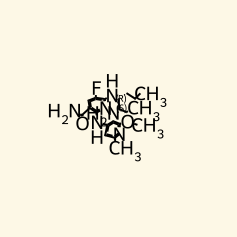 CCC[C@@H](Nc1nc(Nc2cc(C)nc(OC)c2)c(C(N)=O)cc1F)[C@@H](N)CC